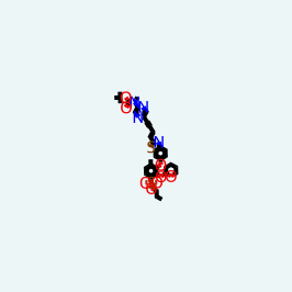 CCCOS(=O)(=O)c1ccc(C)c(Oc2ccc3nc(C=CC#Cc4cnc(N(C)C(=O)OC(C)(C)C)cn4)sc3c2)c1OC1CCCCO1